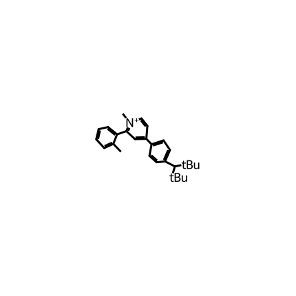 Cc1ccccc1-c1cc(-c2ccc(C(C(C)(C)C)C(C)(C)C)cc2)cc[n+]1C